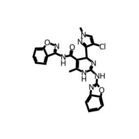 CC1=C(C(=O)Nc2noc3ccccc23)C(c2nn(C)cc2Cl)N=C(Nc2nc3ccccc3o2)N1